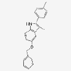 Cc1ccc(-c2[nH]c3ccc(OCc4ccccc4)cc3c2C)cc1